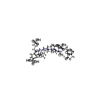 C=C1N=C(/C=C/C=C/C=C2/N(CCCS(=O)(=O)O)c3ccc(P(=O)(O)O)cc3C2(C)C)C(C)(C)/C1=C/C(=C\C)C(=O)N(C)OCC(=O)ON1C(=O)CCC1=O